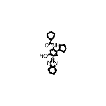 O=C(Nc1cc(O)c(-n2nc3ccccc3n2)cc1C1CCCC1)C1CCCCC1